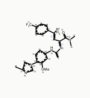 C=C(/N=C(\C=C(/N)c1ccc(C(F)(F)F)cc1)C(=O)N(C)C)Nc1ccc(-n2cnc(C)c2)c(OC)c1